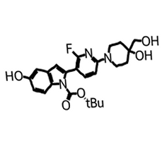 CC(C)(C)OC(=O)n1c(-c2ccc(N3CCC(O)(CO)CC3)nc2F)cc2cc(O)ccc21